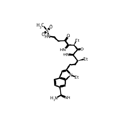 CC[C@@H](CCc1cc2ccc(C(=N)N)cc2n1CC)C(=N)C(=O)[C@H](CC)C(=N)C(=O)CCNS(C)(=O)=O